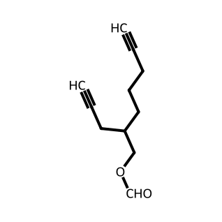 C#CCCCC(CC#C)COC=O